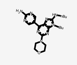 CCCCNc1nc2c(-c3cnc(N)nc3)nc(N3CCOCC3)nc2n1C(C)CC